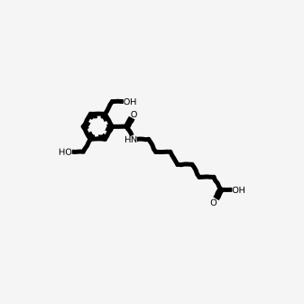 O=C(O)CCCCCCCNC(=O)c1cc(CO)ccc1CO